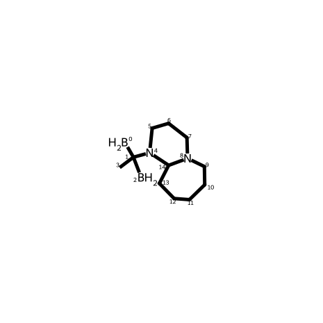 BC(B)(C)N1CCCN2CCCCCC21